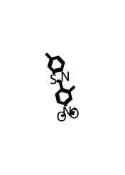 Cc1ccc2nc(-c3ccc([N+](=O)[O-])cc3C)sc2c1